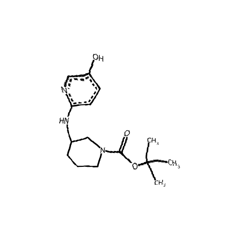 CC(C)(C)OC(=O)N1CCCC(Nc2ccc(O)cn2)C1